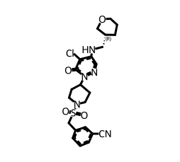 N#Cc1cccc(CS(=O)(=O)N2CCC(n3ncc(NC[C@H]4CCCOC4)c(Cl)c3=O)CC2)c1